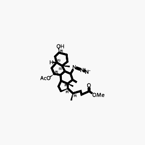 COC(=O)CC[C@@H](C)[C@H]1CCC2C3C(C(N=[N+]=[N-])C(C)[C@@]21C)[C@@]1(C)CC[C@@H](O)C[C@H]1C[C@H]3OC(C)=O